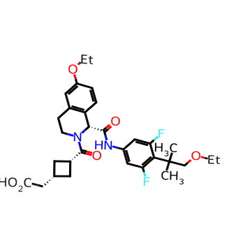 CCOCC(C)(C)c1c(F)cc(NC(=O)[C@H]2c3ccc(OCC)cc3CCN2C(=O)[C@H]2C[C@@H](CC(=O)O)C2)cc1F